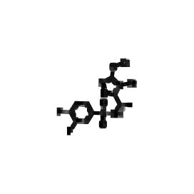 CCOc1nnc([C@@H](C)NS(=O)(=O)c2ccc(F)c(F)c2)n1CC